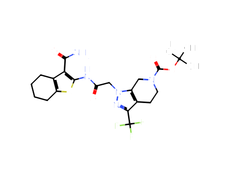 CC(C)(C)OC(=O)N1CCc2c(C(F)(F)F)nn(CC(=O)Nc3sc4c(c3C(N)=O)CCCC4)c2C1